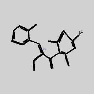 C=C(/C(=C/c1ccccc1C)CC)c1c(C)cc(F)cc1C